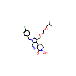 CC(C)COCCOCc1cn(Cc2ccc(F)cc2)c2cnc3c(c12)CCN(O)C3=O